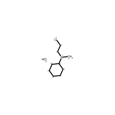 CN(CCCl)C1CCCCC1.Cl